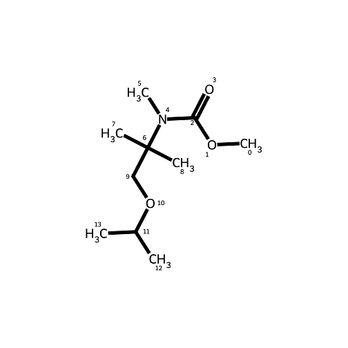 COC(=O)N(C)C(C)(C)COC(C)C